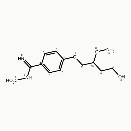 N=C(NC(=O)O)c1ccc(OCC(CCO)ON)cc1